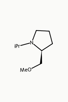 COC[C@@H]1CCCN1C(C)C